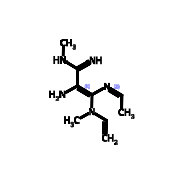 C=CN(C)C(/N=C\C)=C(\N)C(=N)NC